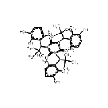 Cc1ccc(O)c(C)c1C(n1c(=O)n(C(c2c(C)ccc(O)c2C)C(C)(C)C)c(=O)n(C(c2c(C)ccc(O)c2C)C(C)(C)C)c1=O)C(C)(C)C